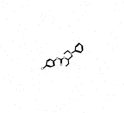 CCC(CN(CC)c1ccccc1)OC(=O)Oc1ccc(Cl)cc1